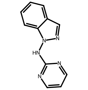 c1cnc(Nn2ncc3ccccc32)nc1